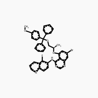 COc1ccc(C(OC[C@@H](C)Oc2cc(Br)cc3ncnc(Nc4ccc5ncccc5c4F)c23)(c2ccccc2)c2ccccc2)cc1